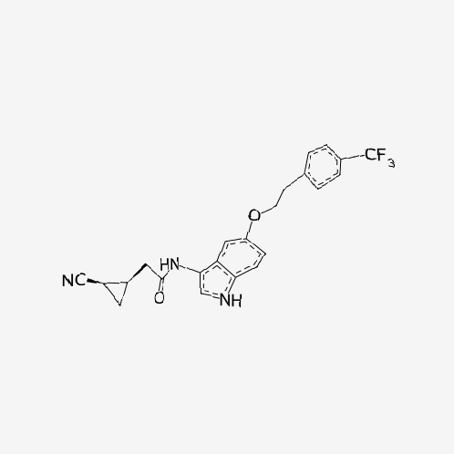 N#C[C@@H]1C[C@@H]1CC(=O)Nc1c[nH]c2ccc(OCCc3ccc(C(F)(F)F)cc3)cc12